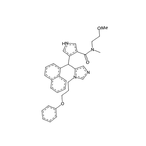 COCCN(C)C(=O)c1c[nH]cc1C(c1cccc2ccccc12)c1cncn1CCCOc1ccccc1